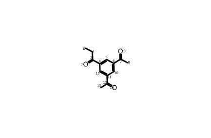 CCC(=O)c1cc(C(C)=O)cc(C(C)=O)c1